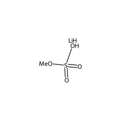 COS(=O)(=O)O.[LiH]